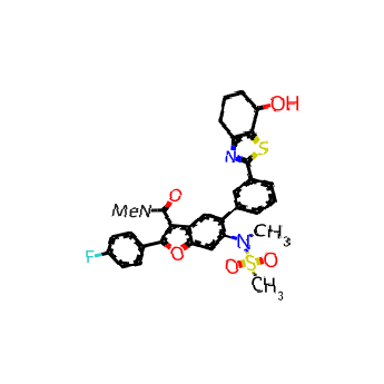 CNC(=O)c1c(-c2ccc(F)cc2)oc2cc(N(C)S(C)(=O)=O)c(-c3cccc(-c4nc5c(s4)C(O)CCC5)c3)cc12